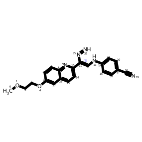 COCCOc1ccc2nc(/C(=C/Nc3ccc(C#N)cc3)N=N)ccc2c1